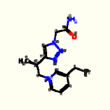 CC(C)Cc1ccc[n+](C[C@@H](C)c2cn(CC(N)=O)nn2)c1